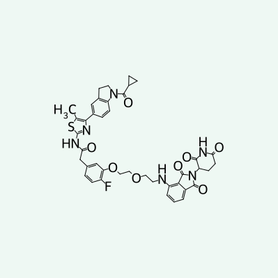 Cc1sc(NC(=O)Cc2ccc(F)c(OCCOCCNc3cccc4c3C(=O)N(C3CCC(=O)NC3=O)C4=O)c2)nc1-c1ccc2c(c1)CCN2C(=O)C1CC1